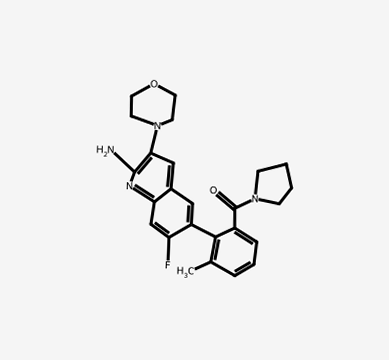 Cc1cccc(C(=O)N2CCCC2)c1-c1cc2cc(N3CCOCC3)c(N)nc2cc1F